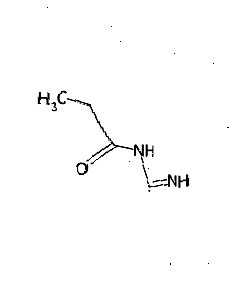 CCC(=O)N[C]=N